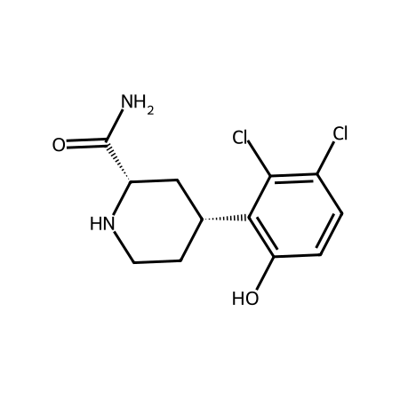 NC(=O)[C@@H]1C[C@H](c2c(O)ccc(Cl)c2Cl)CCN1